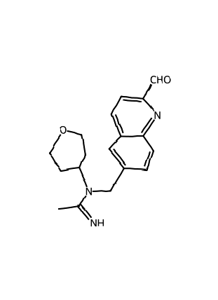 CC(=N)N(Cc1ccc2nc(C=O)ccc2c1)C1CCOCC1